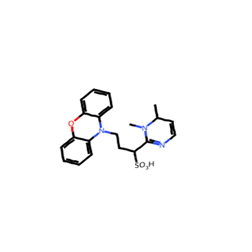 CC1C=CN=C(C(CCN2c3ccccc3Oc3ccccc32)S(=O)(=O)O)N1C